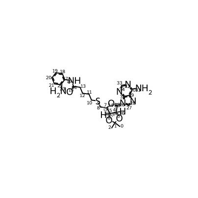 CC1(C)O[C@@H]2[C@H](O1)[C@@H](CSCCCCC(=O)Nc1ccccc1N)O[C@H]2n1cnc2c(N)ncnc21